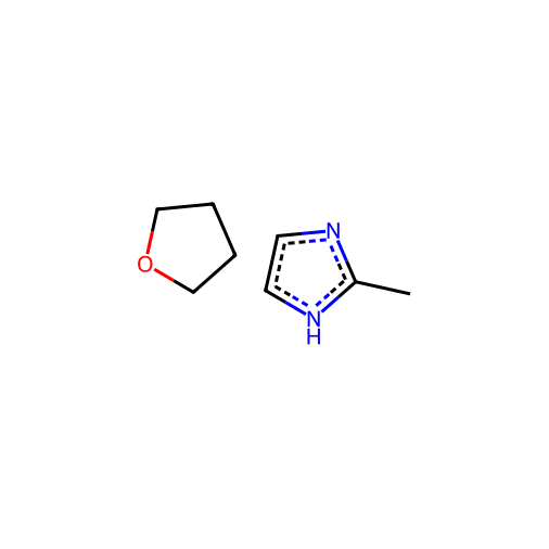 C1CCOC1.Cc1ncc[nH]1